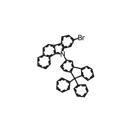 Brc1ccc2c3ccc4ccccc4c3n(-c3ccc4c(c3)-c3ccccc3C4(c3ccccc3)c3ccccc3)c2c1